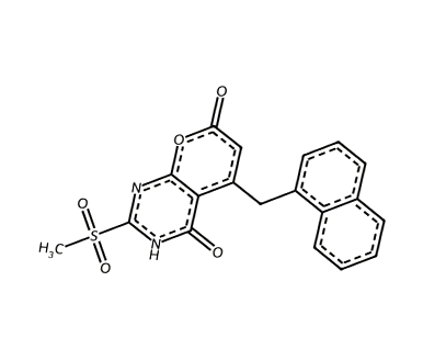 CS(=O)(=O)c1nc2oc(=O)cc(Cc3cccc4ccccc34)c2c(=O)[nH]1